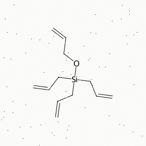 C=CCO[Si](CC=C)(CC=C)CC=C